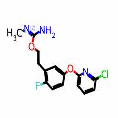 C/N=C(/N)OCCc1cc(Oc2cccc(Cl)n2)ccc1F